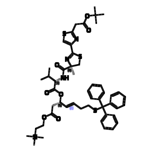 CC(C)[C@H](NC(=O)[C@]1(C)CSC(c2csc(CC(=O)OC(C)(C)C)n2)=N1)C(=O)O[C@H](/C=C/CCSC(c1ccccc1)(c1ccccc1)c1ccccc1)CC(=O)OCC[Si](C)(C)C